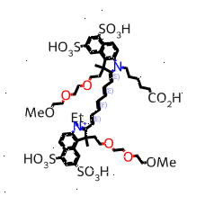 CC[N+]1=C(/C=C/C=C/C=C/C=C2/N(CCCCCC(=O)O)c3ccc4c(S(=O)(=O)O)cc(S(=O)(=O)O)cc4c3C2(C)CCOCCOCCOC)C(C)(CCOCCOCCOC)c2c1ccc1c(S(=O)(=O)O)cc(S(=O)(=O)O)cc21